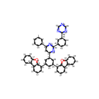 c1ccc(-c2cc(-c3cc(-c4cccc5c4oc4ccccc45)cc(-c4cccc5c4oc4ccccc45)c3)nc(-c3cccc(-c4ncncn4)c3)n2)cc1